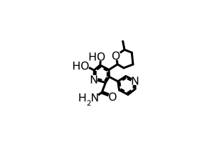 CC1CCCC(c2c(O)c(O)nc(C(N)=O)c2-c2cccnc2)O1